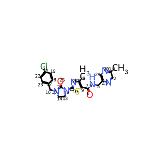 Cc1cnc(CNC(=O)c2sc(N3CCN(Cc4ccc(Cl)cc4)C3=O)nc2C)cn1